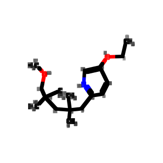 CCOc1ccc(CC(C)(C)CC(C)(C)COC)nc1